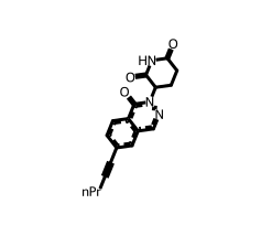 CCCC#Cc1ccc2c(=O)n(C3CCC(=O)NC3=O)ncc2c1